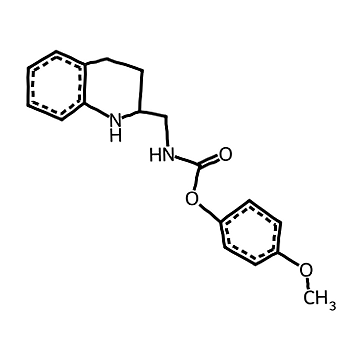 COc1ccc(OC(=O)NCC2CCc3ccccc3N2)cc1